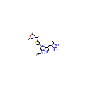 C=c1[nH]c(=O)[nH]/c1=C\c1cnn2c(NC3CC3)cc(-c3csc(C(C)N4CC(C)OC(C)C4)c3)nc12